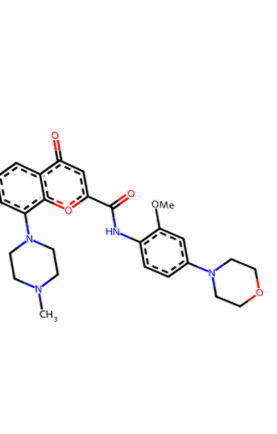 COc1cc(N2CCOCC2)ccc1NC(=O)c1cc(=O)c2cccc(N3CCN(C)CC3)c2o1